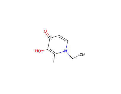 Cc1c(O)c(=O)ccn1CC#N